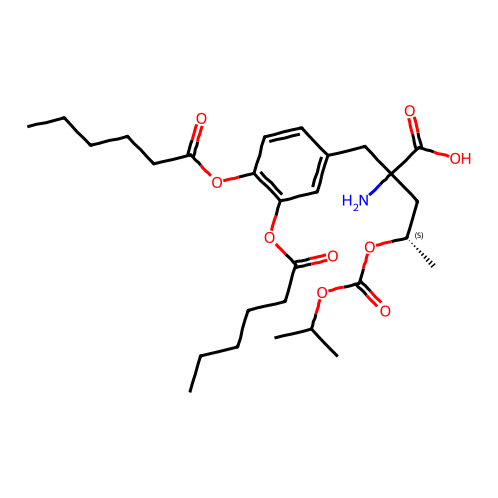 CCCCCC(=O)Oc1ccc(CC(N)(C[C@H](C)OC(=O)OC(C)C)C(=O)O)cc1OC(=O)CCCCC